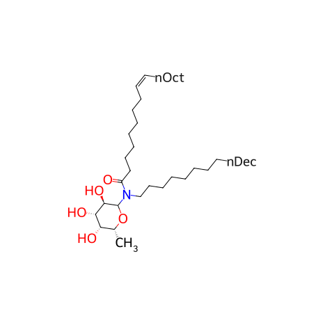 CCCCCCCC/C=C\CCCCCCCC(=O)N(CCCCCCCCCCCCCCCCCC)C1O[C@H](C)[C@H](O)[C@H](O)[C@H]1O